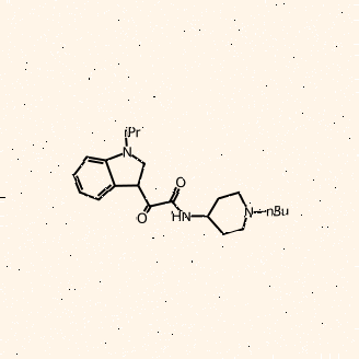 CCCCN1CCC(NC(=O)C(=O)C2CN(C(C)C)c3ccccc32)CC1